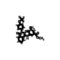 COC(=O)c1cc(Nc2nn(-c3ccc(OC(F)(F)F)cc3)c(=O)c3ccccc23)c(=O)n(C)c1